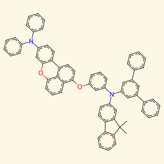 CC1(C)c2ccccc2-c2ccc(N(c3cccc(Oc4ccc5c6c(cccc46)Oc4cc(N(c6ccccc6)c6ccccc6)ccc4-5)c3)c3cc(-c4ccccc4)cc(-c4ccccc4)c3)cc21